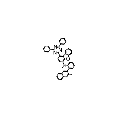 Cc1cc2ccccc2cc1-c1ccccc1[C@@H](C)c1ccc(-c2nc(-c3ccccc3)nc(-c3ccccc3)n2)c2c1oc1ccccc12